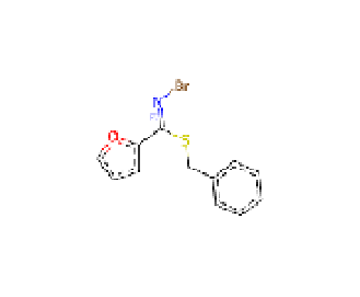 Br/N=C(\SCc1ccccc1)c1ccco1